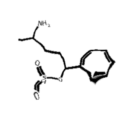 CC(N)CCC(O[SH](=O)=O)c1ccccc1